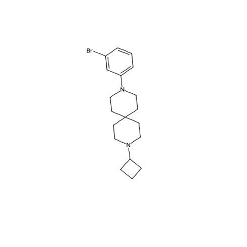 Brc1cccc(N2CCC3(CC2)CCN(C2CCC2)CC3)c1